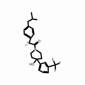 CC(C)Cc1ccc([C@@H](C)C(=O)N2CCC(O)(c3cccc(C(F)(F)F)c3)CC2)cc1